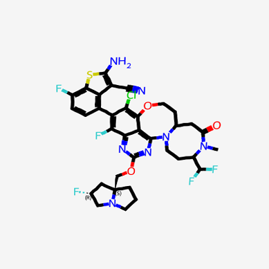 CN1C(=O)CC2CCOc3c(Cl)c(-c4ccc(F)c5sc(N)c(C#N)c45)c(F)c4nc(OC[C@@]56CCCN5C[C@H](F)C6)nc(c34)N2CCC1C(F)F